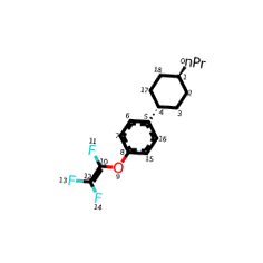 CCC[C@H]1CC[C@H](c2ccc(OC(F)=C(F)F)cc2)CC1